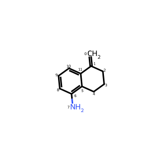 C=C1CCCc2c(N)cccc21